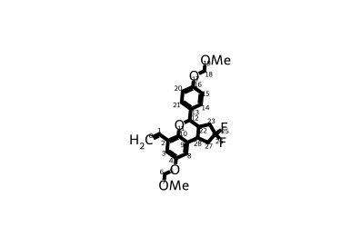 C=Cc1cc(OCOC)cc2c1OC(c1ccc(OCOC)cc1)C1CC(F)(F)CC21